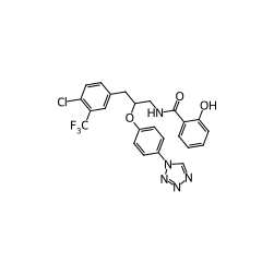 O=C(NCC(Cc1ccc(Cl)c(C(F)(F)F)c1)Oc1ccc(-n2cnnn2)cc1)c1ccccc1O